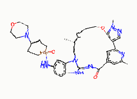 Cc1cc2cc(n1)-c1cnn(C)c1OCCC[C@@H](C)CN1/C(=N/C2=O)Nc2ccc(N[SH]3(=O)CCC(N4CCOCC4)CC3)cc21